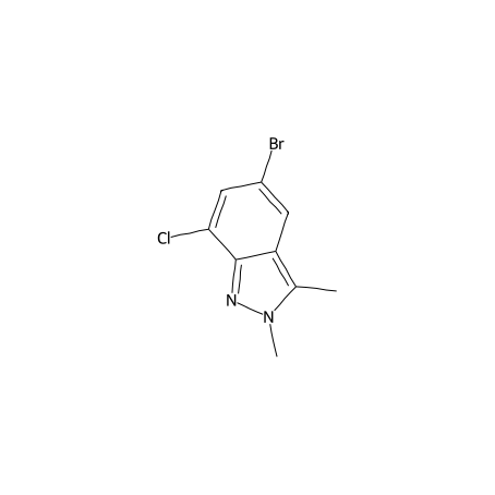 Cc1c2cc(Br)cc(Cl)c2nn1C